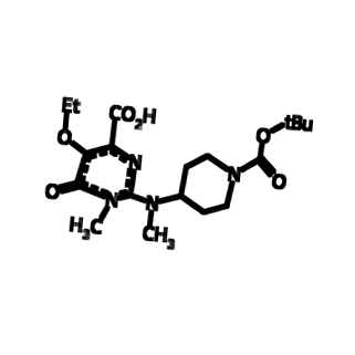 CCOc1c(C(=O)O)nc(N(C)C2CCN(C(=O)OC(C)(C)C)CC2)n(C)c1=O